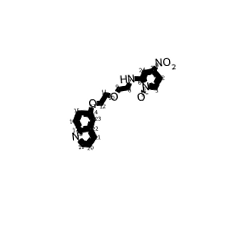 O=[N+]([O-])c1cc[n+]([O-])c(NCCOCCOc2ccc3ncccc3c2)c1